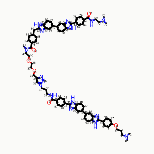 CN(C)CCCOc1ccc(-c2nc3cc(-c4ccc5[nH]c(-c6ccc(C(=O)NCCCn7cc(COCCOCCN(C)C(=O)c8ccc(Cc9nc%10cc(-c%11ccc%12[nH]c(-c%13ccc(C(=O)NCCN(C)C)cc%13)nc%12c%11)ccc%10[nH]9)cc8)nn7)cc6)nc5c4)ccc3[nH]2)cc1